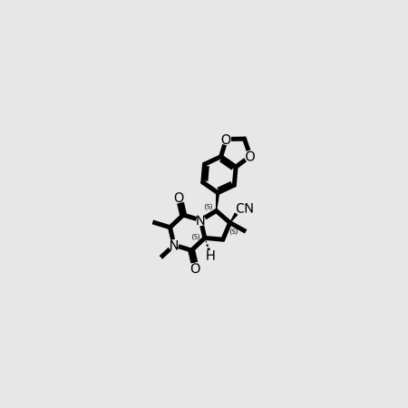 CC1C(=O)N2[C@@H](c3ccc4c(c3)OCO4)[C@@](C)(C#N)C[C@H]2C(=O)N1C